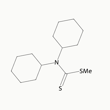 CSC(=S)N(C1CCCCC1)C1CCCCC1